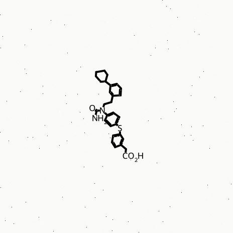 NC(=O)N(CCc1cccc(C2CCCCC2)c1)c1ccc(Sc2cccc(CC(=O)O)c2)cc1